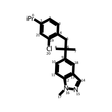 CC(C)c1ccc(CC(C)(C)c2ccc3c(cnn3C)c2)c(Cl)c1